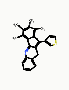 Cc1c(C)c(C(F)(F)F)c(C)c2c1C1=Nc3ccccc3CC1=C2c1ccsc1